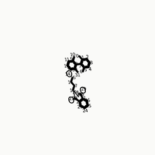 Cc1cccc(C)c1-c1c(C)ccc(OCCCCN2C(=O)c3ccccc3C2=O)c1C